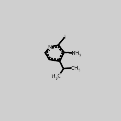 CC(C)c1ccnc(I)c1N